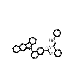 NC(N/C(=C\Pc1ccccc1)c1ccccc1)c1ccc2c(-n3c4ccccc4c4cc5ccccc5cc43)cccc2c1